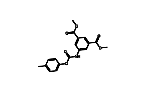 COC(=O)c1cc(NC(=O)Oc2ccc(C)cc2)cc(C(=O)OC)c1